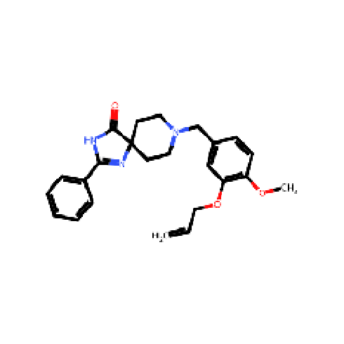 C=CCOc1cc(CN2CCC3(CC2)N=C(c2ccccc2)NC3=O)ccc1OC